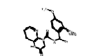 CCC(NC(=O)N1CC(=O)NC2=C1N=CCC2)c1ccc(OC(F)(F)F)cc1OC